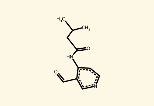 CC(C)CC(=O)Nc1ccncc1[C]=O